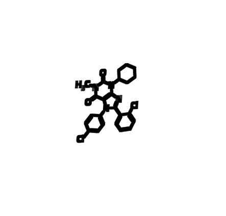 Cn1c(=O)c2c(nc(-c3ccccc3Cl)n2-c2ccc(Cl)cc2)n(C2CCCCC2)c1=O